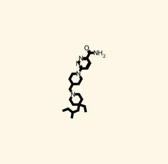 CCC(C)CC1(CC)CCN(CC2CCN(c3ccc(C(N)=O)nn3)CC2)CC1